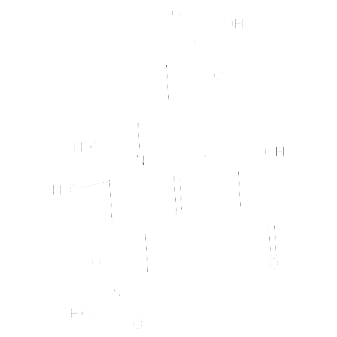 CC1(C)C=C(CS(=O)(=O)O)c2cc(C=O)c(O)cc2N1CCCS(=O)(=O)O